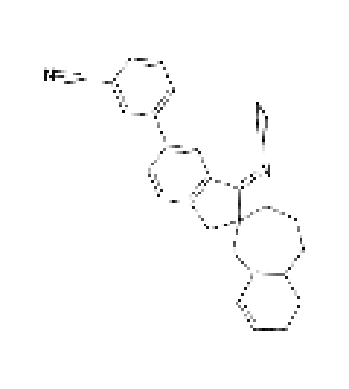 N#CN=C1c2cc(-c3cccc(C#N)c3)ccc2CC12CCCC1=C(C=CCC1)C2